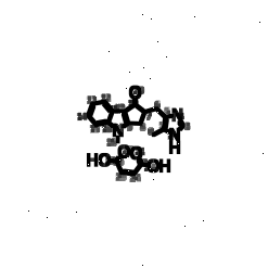 Cc1[nH]cnc1CC1Cc2c(c3ccccc3n2C)C1=O.O=C(O)/C=C\C(=O)O